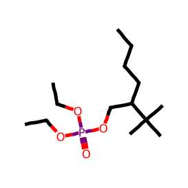 CCCCC(COP(=O)(OCC)OCC)C(C)(C)C